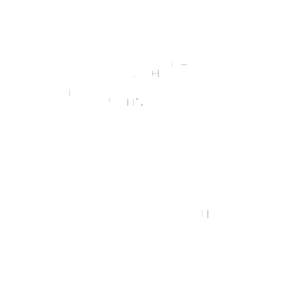 CCCCCCCCCC(NC(=O)OCC)=C(C)C(=O)O